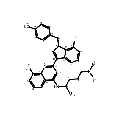 CCN(CC)CCCC(C)Nc1nc(C2=CC(Cc3ccc(C)cc3)c3c(Cl)cccc32)nc2c(C)cccc12